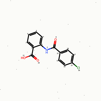 O=C(Nc1ccccc1C(=O)O)c1ccc(Cl)cc1